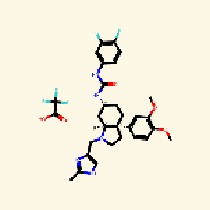 COc1ccc([C@@]23CC[C@@H](NC(=O)Nc4ccc(F)c(F)c4)C[C@@H]2N(Cc2c[nH]c(C)n2)CC3)cc1OC.O=C(O)C(F)(F)F